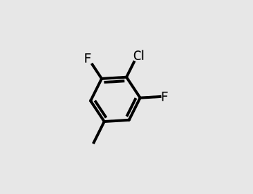 Cc1cc(F)c(Cl)c(F)c1